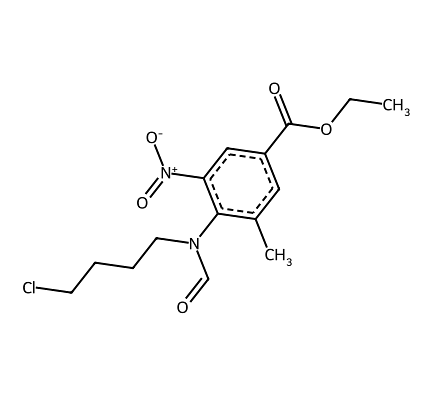 CCOC(=O)c1cc(C)c(N(C=O)CCCCCl)c([N+](=O)[O-])c1